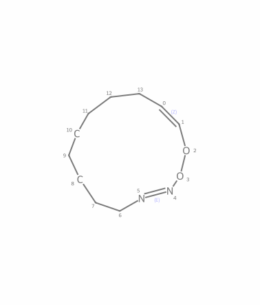 C1=C\OO/N=N/CCCCCCCC/1